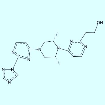 C[C@@H]1CN(c2ccnc(-n3cncn3)n2)C[C@H](C)N1c1ccnc(CCO)n1